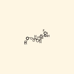 CCOCc1cccc(COCC(=O)N[C@@H]2CCC[C@H](Nc3nc(-c4c[nH]c5ncc(F)cc45)ncc3F)C2)c1